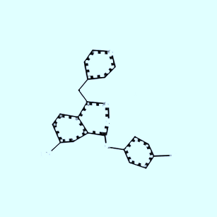 Cl.Nc1ccc2c(Cc3ccncc3)nnc(Nc3ccc(Cl)cc3)c2c1